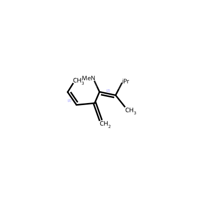 C=C(/C=C\C)/C(NC)=C(\C)C(C)C